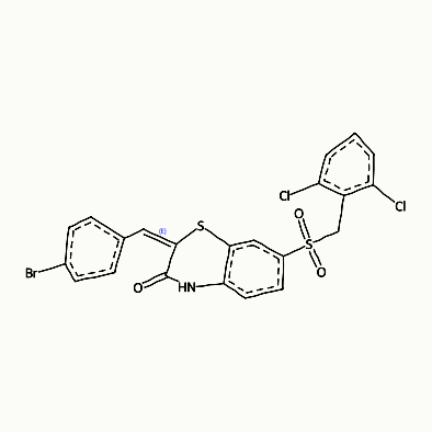 O=C1Nc2ccc(S(=O)(=O)Cc3c(Cl)cccc3Cl)cc2S/C1=C/c1ccc(Br)cc1